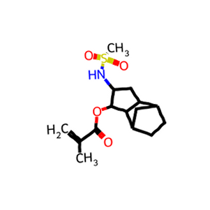 C=C(C)C(=O)OC1C(NS(C)(=O)=O)CC2C3CCC(C3)C21